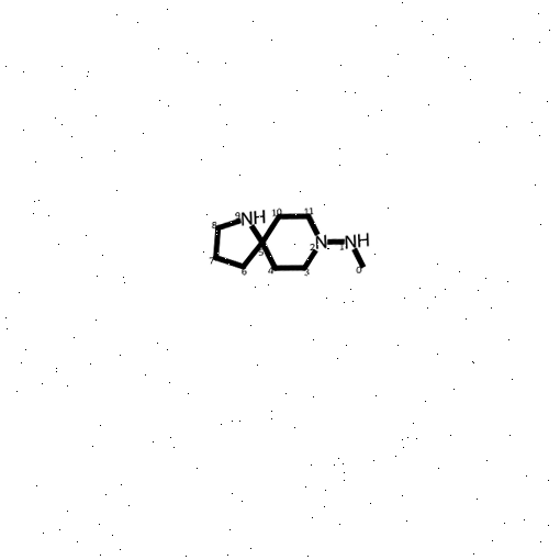 CNN1CCC2(CCCN2)CC1